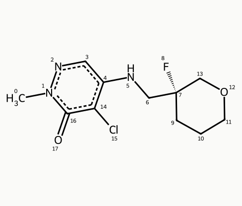 Cn1ncc(NC[C@]2(F)CCCOC2)c(Cl)c1=O